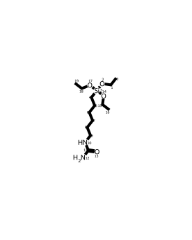 CCO[Si](CCCCCCNC(N)=O)(OCC)OCC